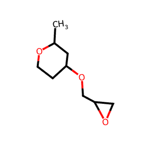 CC1CC(OCC2CO2)CCO1